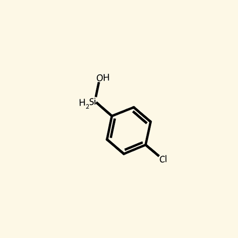 O[SiH2]c1ccc(Cl)cc1